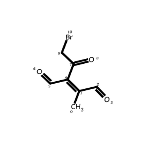 C/C([C]=O)=C(\[C]=O)C(=O)CBr